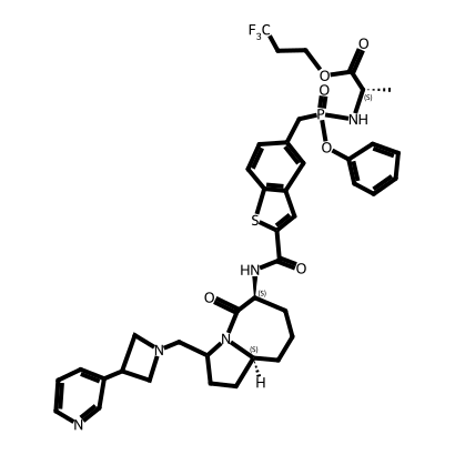 C[C@H](NP(=O)(Cc1ccc2sc(C(=O)N[C@H]3CCC[C@H]4CCC(CN5CC(c6cccnc6)C5)N4C3=O)cc2c1)Oc1ccccc1)C(=O)OCCC(F)(F)F